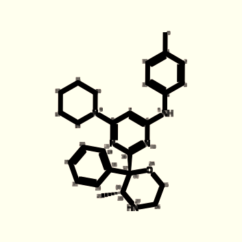 Cc1ccc(Nc2cc(N3CCCCC3)nc([C@@]3(c4ccccc4)OCCN[C@@H]3C)n2)cc1